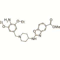 CCOc1cc(CN2CCC(Nc3nc4cc(C(=O)OC)ccc4o3)CC2)cc(OCC)c1N